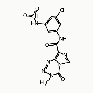 Cn1nnc2c(C(=O)Nc3cc(Cl)cc(N[SH](=O)=O)c3)ncn2c1=O